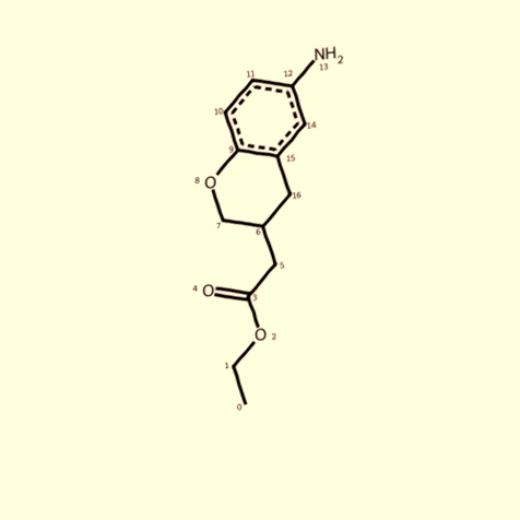 CCOC(=O)CC1COc2ccc(N)cc2C1